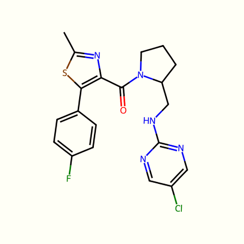 Cc1nc(C(=O)N2CCCC2CNc2ncc(Cl)cn2)c(-c2ccc(F)cc2)s1